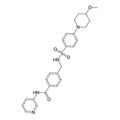 COC1CCN(c2ccc(S(=O)(=O)NCc3ccc(C(=O)Nc4cccnc4)cc3)cc2)CC1